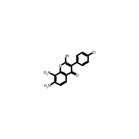 CC(C)c1oc2c([N+](=O)[O-])c(N)ccc2c(=O)c1-c1ccc(Cl)cc1